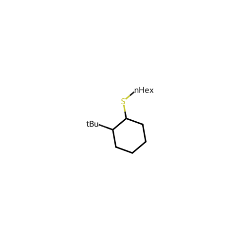 CCCCCCSC1CCCCC1C(C)(C)C